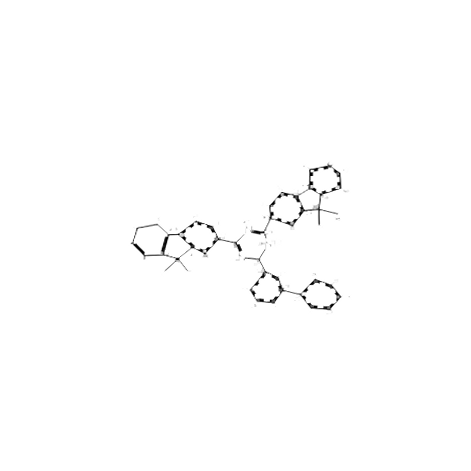 CC1(C)C2=C(CCC=C2)c2ccc(C3=NC(c4cccc(-c5ccccc5)c4)NC(c4ccc5c(c4)C(C)(C)c4ccccc4-5)=N3)cc21